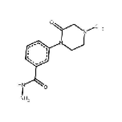 CN1CCN(c2cccc(C(=O)NN)c2)C(=O)C1